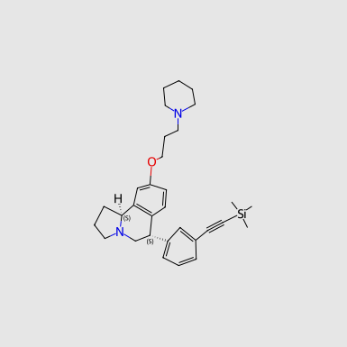 C[Si](C)(C)C#Cc1cccc([C@@H]2CN3CCC[C@H]3c3cc(OCCCN4CCCCC4)ccc32)c1